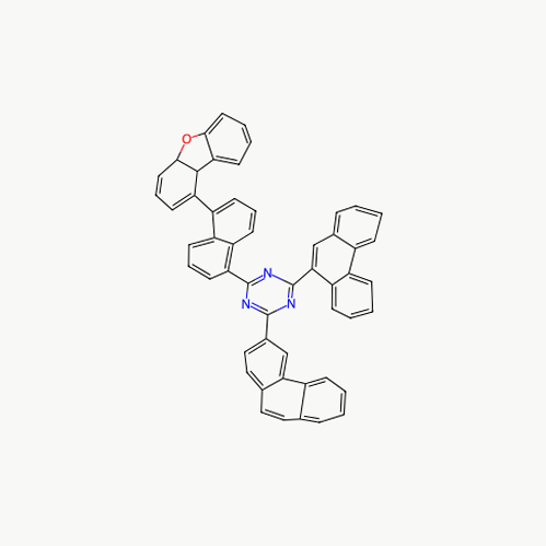 C1=CC2Oc3ccccc3C2C(c2cccc3c(-c4nc(-c5ccc6ccc7ccccc7c6c5)nc(-c5cc6ccccc6c6ccccc56)n4)cccc23)=C1